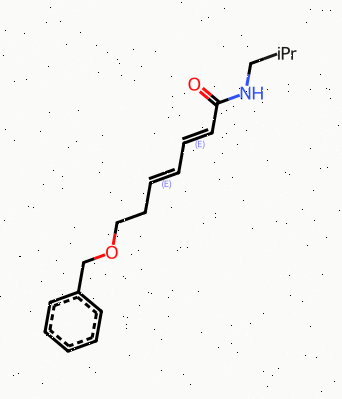 CC(C)CNC(=O)/C=C/C=C/CCOCc1ccccc1